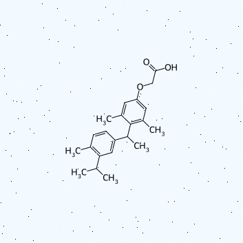 Cc1ccc(C(C)c2c(C)cc(OCC(=O)O)cc2C)cc1C(C)C